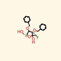 OC[C@H]1OC(O)(CF)[C@@H](OCc2ccccc2)[C@@H]1OCc1ccccc1